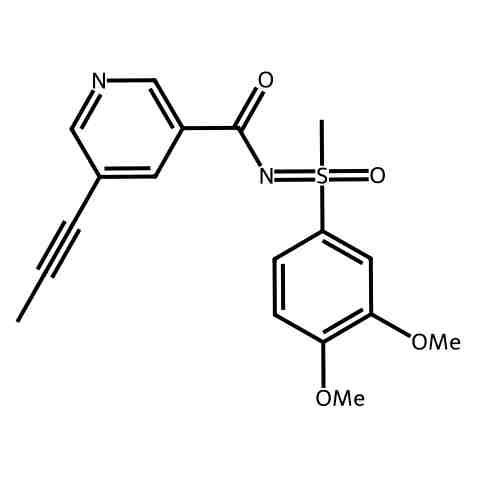 CC#Cc1cncc(C(=O)N=S(C)(=O)c2ccc(OC)c(OC)c2)c1